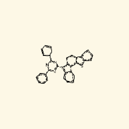 C1=CCC(c2nc(-c3ccccc3)nc(-n3c4ccccc4c4c5sc6ccccc6c5ccc43)n2)C=C1